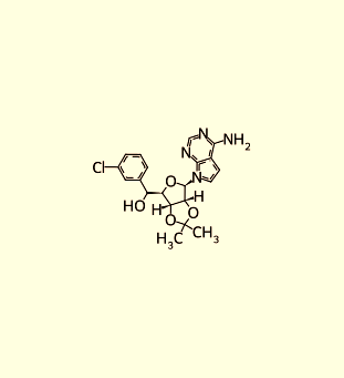 CC1(C)O[C@@H]2[C@H](O1)[C@@H](C(O)c1cccc(Cl)c1)O[C@H]2n1ccc2c(N)ncnc21